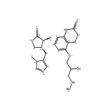 CC(C)(C)NCC(O)COc1cccc2c1CCC(=O)N2.CC[C@@H]1C(=O)OC[C@@H]1Cc1cncn1C